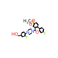 CS(=O)(=O)c1ccc(-c2ccc(F)cc2)c(C(=O)N2CCN(c3ccc(CO)cc3F)CC2)c1